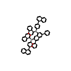 c1ccc(-c2cc(N(c3ccc(-c4cccc5ccccc45)cc3)c3cccc4ccccc34)c3cc(N(c4ccc(-c5cccc6ccccc56)cc4)c4cccc5ccccc45)c(-c4ccccc4)cc3c2)cc1